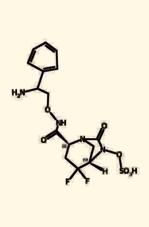 NC(CONC(=O)[C@@H]1CC(F)(F)[C@@H]2CN1C(=O)N2OS(=O)(=O)O)c1ccccc1